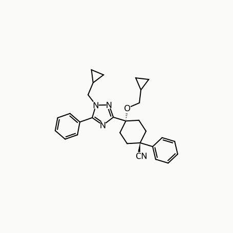 N#C[C@]1(c2ccccc2)CC[C@](OCC2CC2)(c2nc(-c3ccccc3)n(CC3CC3)n2)CC1